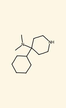 CN(C)C1(C2CCCCC2)CCNCC1